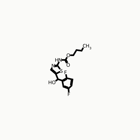 CCCCOC(=O)Nc1ncc(C(O)c2cc(F)ccc2F)s1